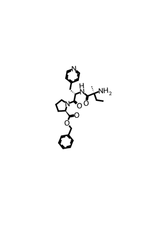 CC[C@](C)(N)C(=O)N[C@@H](Cc1ccncc1)C(=O)N1CCC[C@@H]1C(=O)OCc1ccccc1